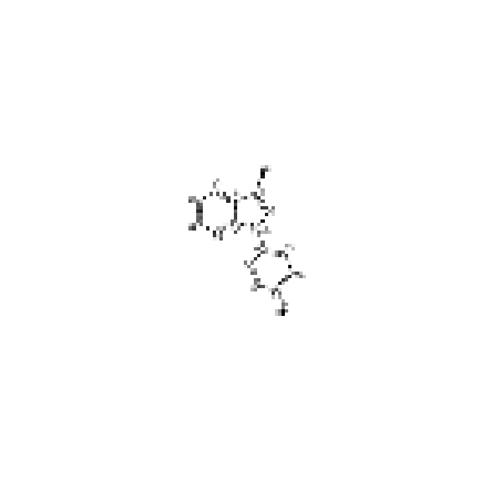 Fc1ccc(-n2cc(I)c3ccccc32)cc1